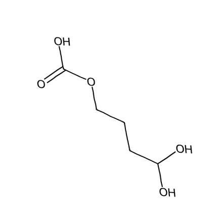 O=C(O)OCCCC(O)O